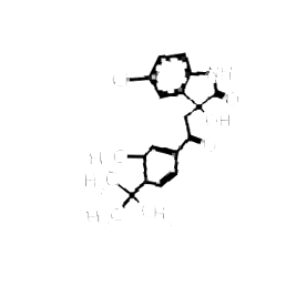 CC1C=C(C(=O)CC2(O)C(=O)Nc3ccc(Cl)cc32)C=CC1C(C)(C)C